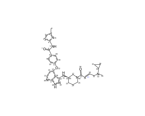 Cc1csc(NC(=O)c2ccc(Oc3ccnc4[nH]nc(N[C@@H]5CCCN(C(=O)/C=C/CN(C)C6CC6)C5)c34)cc2)n1